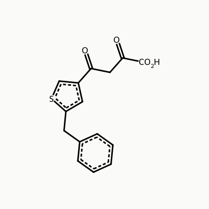 O=C(O)C(=O)CC(=O)c1csc(Cc2ccccc2)c1